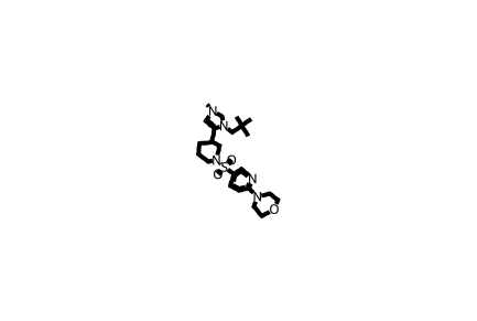 CN1C=C(C2CCCN(S(=O)(=O)c3ccc(N4CCOCC4)nc3)C2)N(CC(C)(C)C)C1